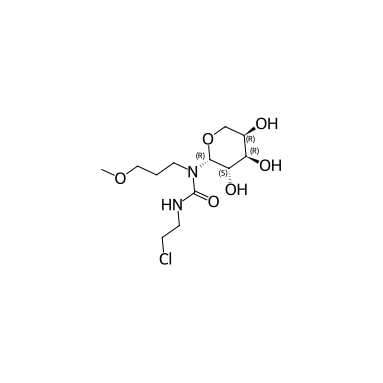 COCCCN(C(=O)NCCCl)[C@@H]1OC[C@@H](O)[C@@H](O)[C@@H]1O